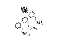 Cl.Cl.Cl.[SiH3]CCc1ccccc1.[SiH3]CCc1ccccc1.[SiH3]CCc1ccccc1